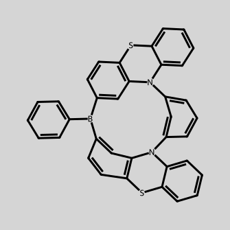 c1ccc(B2c3ccc4c(c3)N(c3cccc(c3)N3c5ccccc5Sc5ccc2cc53)c2ccccc2S4)cc1